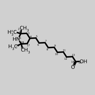 CC1(C)CC(CCCCCCCCCC(=O)O)CC(C)(C)N1